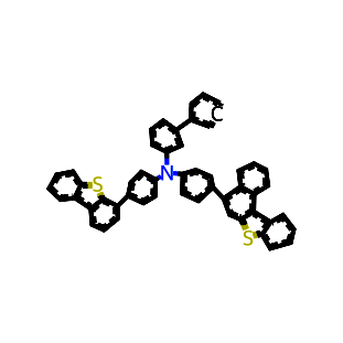 c1ccc(-c2cccc(N(c3ccc(-c4cc5sc6ccccc6c5c5ccccc45)cc3)c3ccc(-c4cccc5c4sc4ccccc45)cc3)c2)cc1